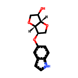 O[C@@H]1CO[C@H]2[C@@H]1OC[C@H]2Oc1ccc2[nH]ccc2c1